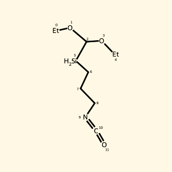 CCOC(OCC)[SiH2]CCCN=C=O